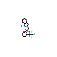 CC(O)(Cc1cc2ccccc2[nH]1)CC(C)(c1ccccn1)C(F)(F)F